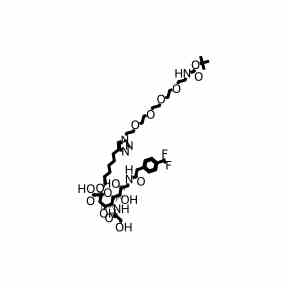 CC(C)(C)OC(=O)NCCOCCOCCOCCOCCn1cc(CCCCCCO[C@]2(C(=O)O)C[C@H](O)[C@@H](NC(=O)CO)[C@H]([C@H](O)[C@H](O)CNC(=O)Cc3ccc(C(F)F)cc3)O2)nn1